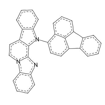 c1ccc2c(c1)-c1cccc3c(-n4c5ccccc5c5ccn6c7ccccc7nc6c54)ccc-2c13